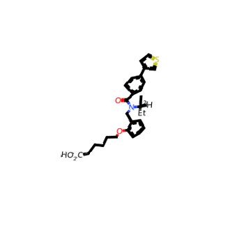 [2H]C(C)(CC)N(Cc1ccccc1OCCCCCC(=O)O)C(=O)c1ccc(-c2ccsc2)cc1